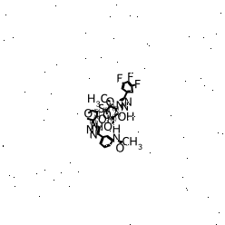 CO[C@@H]1[C@@H](n2cc(-c3cc(F)c(F)c(F)c3)nn2)[C@@H](O)[C@@H](CO)O[C@H]1S[C@@H]1COC[C@H](n2cc(-c3cccc(NC(C)=O)c3)nn2)[C@H]1O